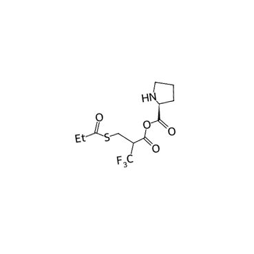 CCC(=O)SCC(C(=O)OC(=O)[C@@H]1CCCN1)C(F)(F)F